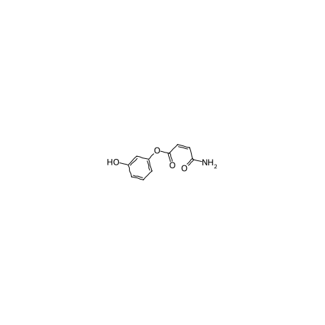 NC(=O)/C=C\C(=O)Oc1cccc(O)c1